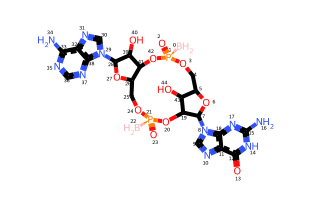 B[P@@]1(=O)OCC2OC(n3cnc4c(=O)[nH]c(N)nc43)C(O[P@](B)(=O)OCC3OC(n4cnc5c(N)ncnc54)C(O)C3O1)C2O